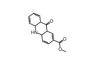 COC(=O)C1=CC2C(=O)C3C=CC=CC3NC2C=C1